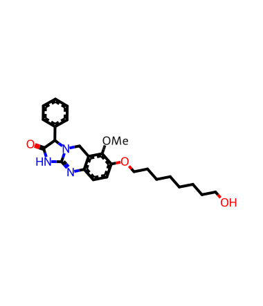 COc1c(OCCCCCCCCO)ccc2c1CN1C(=N2)NC(=O)C1c1ccccc1